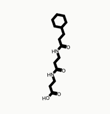 O=C(O)CCNC(=O)CCNC(=O)CCC1CCCCC1